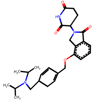 CC(C)N(CC1C=CC(COc2cccc3c2CN(C2CCC(=O)NC2=O)C3=O)=CC1)C(C)C